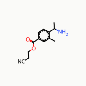 Cc1cc(C(=O)OCCC#N)ccc1C(C)N